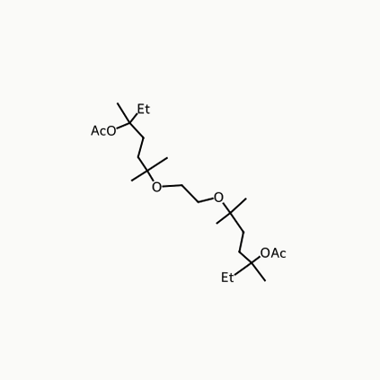 CCC(C)(CCC(C)(C)OCCOC(C)(C)CCC(C)(CC)OC(C)=O)OC(C)=O